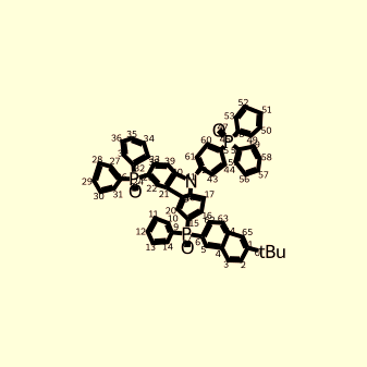 CC(C)(C)c1ccc2cc(P(=O)(c3ccccc3)c3ccc4c(c3)c3cc(P(=O)(c5ccccc5)c5ccccc5)ccc3n4-c3ccc(P(=O)(c4ccccc4)c4ccccc4)cc3)ccc2c1